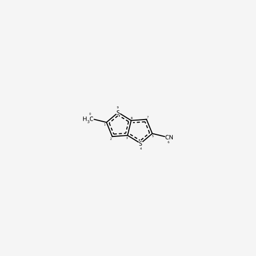 Cc1cc2sc(C#N)cc2s1